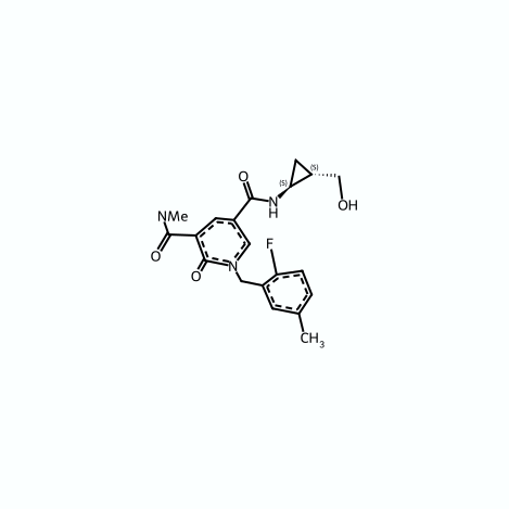 CNC(=O)c1cc(C(=O)N[C@H]2C[C@@H]2CO)cn(Cc2cc(C)ccc2F)c1=O